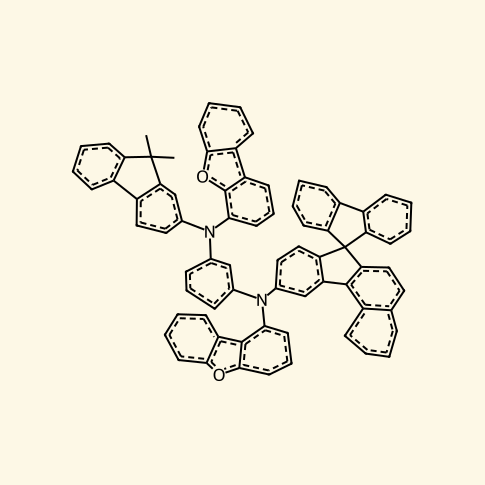 CC1(C)c2ccccc2-c2ccc(N(c3cccc(N(c4ccc5c(c4)-c4c(ccc6ccccc46)C54c5ccccc5-c5ccccc54)c4cccc5oc6ccccc6c45)c3)c3cccc4c3oc3ccccc34)cc21